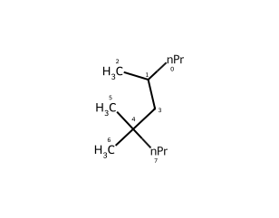 [CH2]CCC(C)CC(C)(C)CCC